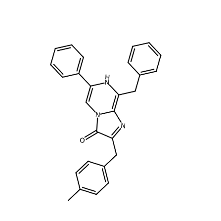 Cc1ccc(Cc2nc3c(Cc4ccccc4)[nH]c(-c4ccccc4)cn-3c2=O)cc1